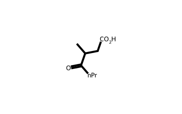 CCCC(=O)C(C)CC(=O)O